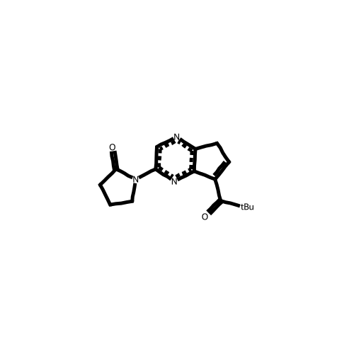 CC(C)(C)C(=O)C1=CCc2ncc(N3CCCC3=O)nc21